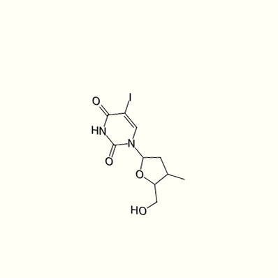 CC1CC(n2cc(I)c(=O)[nH]c2=O)OC1CO